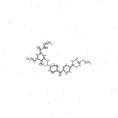 CCN1CCN(c2ccc(Nc3ncc(CCc4cc(C(=O)NOC)cc(OC)c4C)cn3)cc2)CC1